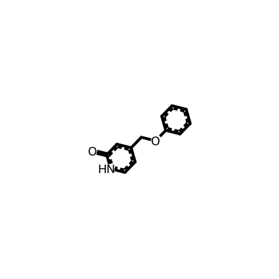 O=c1cc(COc2ccccc2)cc[nH]1